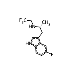 C[C@H](Cc1c[nH]c2ccc(F)cc12)NCC(F)(F)F